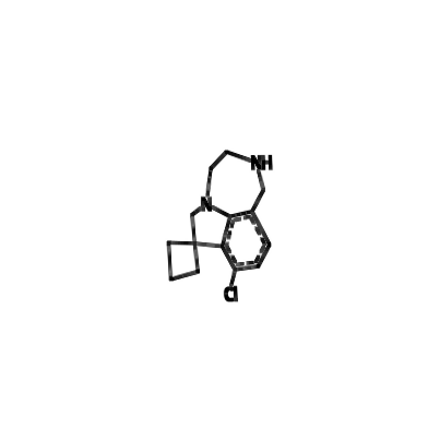 Clc1ccc2c3c1C1(CCC1)CN3CCNC2